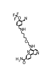 N#Cc1cc(CNCCCCOCCNc2nc3cc(C(N)=O)ccc3c3cnccc23)ccc1OC(F)(F)F